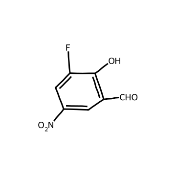 O=Cc1cc([N+](=O)[O-])cc(F)c1O